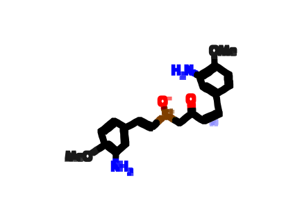 COc1ccc(C=C[S+]([O-])CC(=O)/C=C\c2ccc(OC)c(N)c2)cc1N